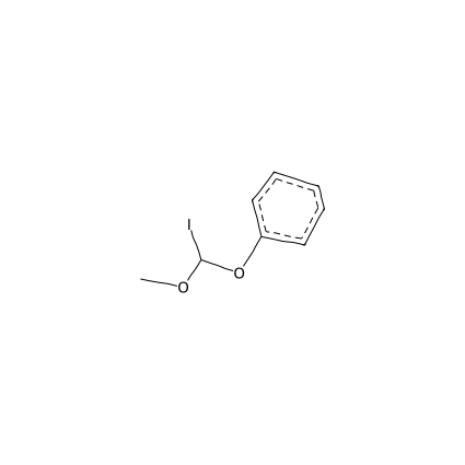 COC(I)Oc1ccccc1